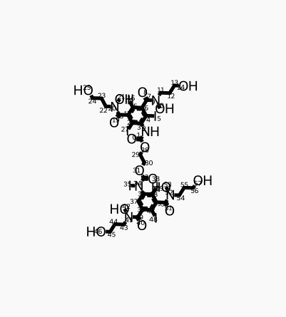 O=C(Nc1c(I)c(C(=O)N(O)CCCO)c(I)c(C(=O)N(O)CCCO)c1I)OCCOC(=O)N(I)c1cc(C(=O)N(O)CCCO)c(I)c(C(=O)N(O)CCCO)c1I